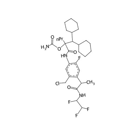 CCCC(OC(N)=O)(C(=O)Nc1cc(CCl)c(C(C)C(=O)NC(F)C(F)F)cc1F)C(C1CCCCC1)C1CCCCC1